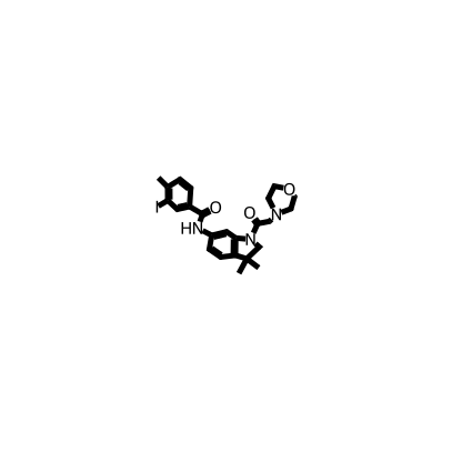 Cc1ccc(C(=O)Nc2ccc3c(c2)N(C(=O)CN2CCOCC2)CC3(C)C)cc1I